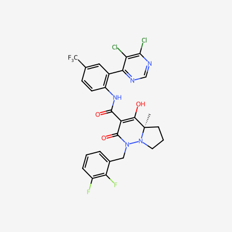 C[C@]12CCCN1N(Cc1cccc(F)c1F)C(=O)C(C(=O)Nc1ccc(C(F)(F)F)cc1-c1ncnc(Cl)c1Cl)=C2O